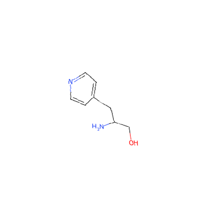 NC(CO)Cc1ccncc1